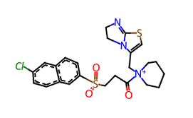 O=C(CCS(=O)(=O)c1ccc2cc(Cl)ccc2c1)[N+]1(CC2=CSC3=NCCN23)CCCCC1